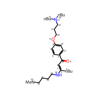 CCCC/C(=C\C(=O)c1ccc(OCCCN(CCCC)CCCC)cc1)NCCCCNC